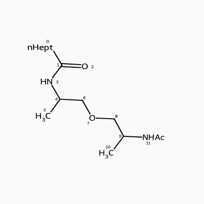 CCCCCCCC(=O)NC(C)COCC(C)NC(C)=O